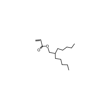 C=CC(=O)OCC(CCCCC)CCCCC